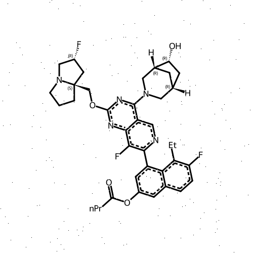 CCCC(=O)Oc1cc(-c2ncc3c(N4C[C@@H]5C[C@H](C4)[C@H](O)C5)nc(OC[C@@]45CCCN4C[C@H](F)C5)nc3c2F)c2c(CC)c(F)ccc2c1